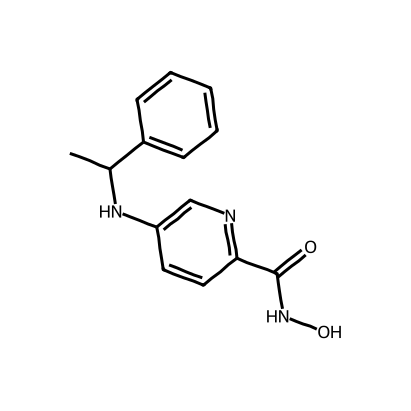 CC(Nc1ccc(C(=O)NO)nc1)c1ccccc1